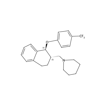 FC(F)(F)c1ccc(O[C@@H]2c3ccccc3CC[C@H]2CN2CCCCC2)cc1